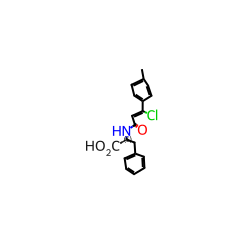 Cc1ccc(C(Cl)=CC(=O)N[C@@H](Cc2ccccc2)C(=O)O)cc1